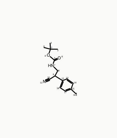 CC(C)(C)OC(=O)NCC(C#N)c1ccc(I)cc1